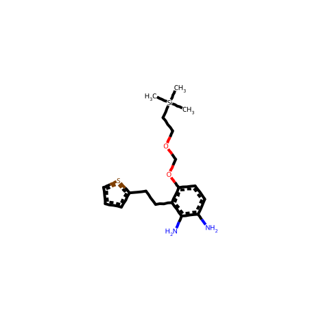 C[Si](C)(C)CCOCOc1ccc(N)c(N)c1CCc1cccs1